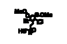 CCc1c(OCOC)cc(OCOC)c(-c2ccccc2)c1CCc1ocnc1CO